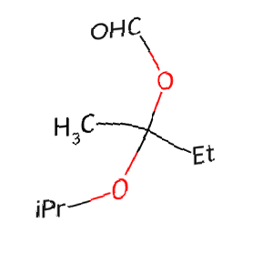 CCC(C)(OC=O)OC(C)C